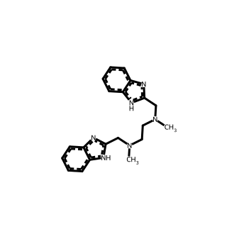 CN(CCN(C)Cc1nc2ccccc2[nH]1)Cc1nc2ccccc2[nH]1